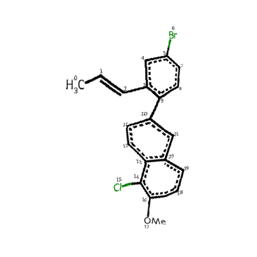 CC=Cc1cc(Br)ccc1-c1ccc2c(Cl)c(OC)ccc2c1